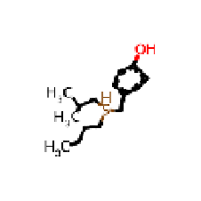 CCCC[SH](Cc1ccc(O)cc1)CC(C)C